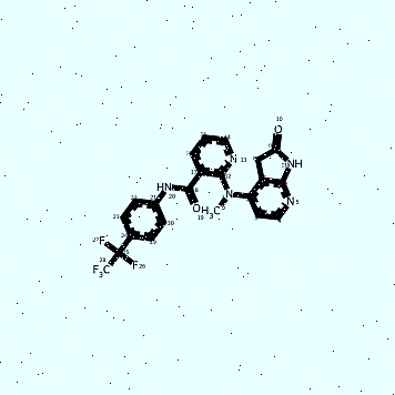 CN(c1ccnc2c1CC(=O)N2)c1ncccc1C(=O)Nc1ccc(C(F)(F)C(F)(F)F)cc1